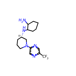 NC1CCCCC1N[C@H]1CCCN(c2cnc(C(F)(F)F)cn2)C1